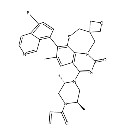 C=CC(=O)N1C[C@H](C)N(c2nc(=O)n3c4c(c(-c5ccc(F)c6ccncc56)c(C)cc24)SCC2(COC2)C3)C[C@H]1C